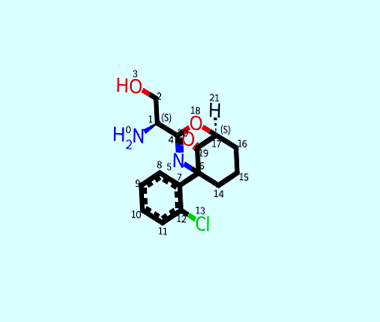 N[C@@H](CO)C1=NC2(c3ccccc3Cl)CCC[C@H](O1)C2=O